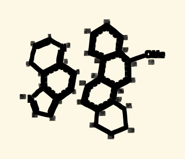 C1=CN=c2ccc3c(c2C1)N=CC=3.COc1cc2c3c(ccc2c2ccccc12)CCCC3